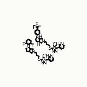 Cn1c(SCCCN2CC3CCN(c4c(F)cccc4F)C3C2)nnc1-c1cccnc1.Cn1c(SCCCN2C[C@H]3CCN(c4ccc(C(F)(F)F)cc4)[C@H]3C2)nnc1-c1cccnc1